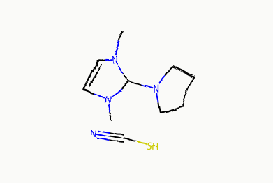 CN1C=CN(C)C1N1CCCC1.N#CS